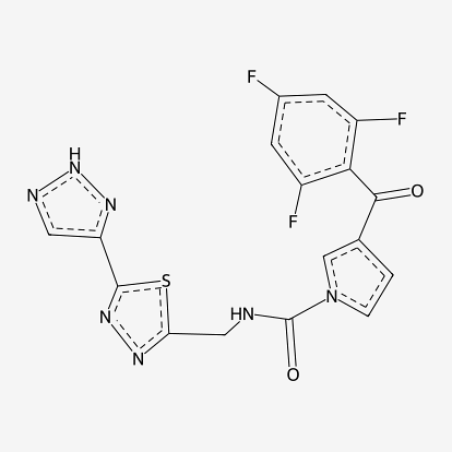 O=C(c1ccn(C(=O)NCc2nnc(-c3cn[nH]n3)s2)c1)c1c(F)cc(F)cc1F